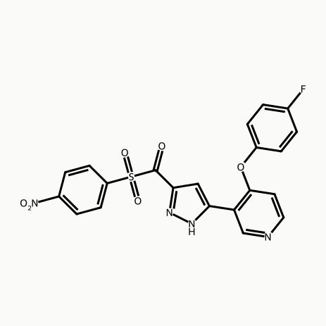 O=C(c1cc(-c2cnccc2Oc2ccc(F)cc2)[nH]n1)S(=O)(=O)c1ccc([N+](=O)[O-])cc1